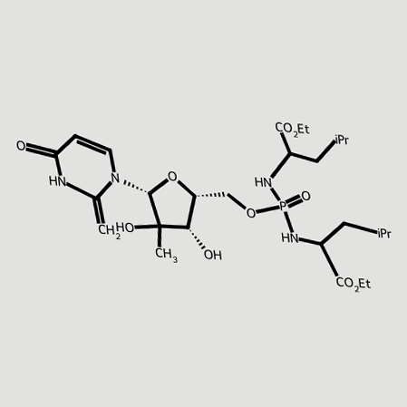 C=C1NC(=O)C=CN1[C@@H]1O[C@H](COP(=O)(NC(CC(C)C)C(=O)OCC)NC(CC(C)C)C(=O)OCC)[C@H](O)C1(C)O